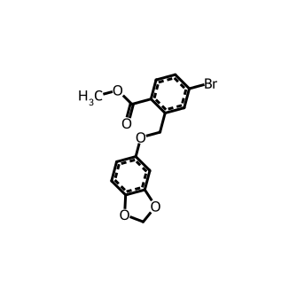 COC(=O)c1ccc(Br)cc1COc1ccc2c(c1)OCO2